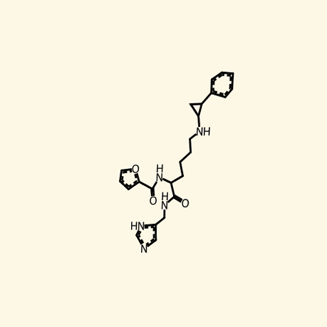 O=C(NC(CCCCNC1CC1c1ccccc1)C(=O)NCc1cnc[nH]1)c1ccco1